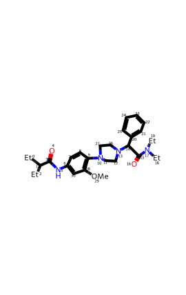 CCC(CC)C(=O)Nc1ccc(N2CCN(C(C(=O)N(CC)CC)c3ccccc3)CC2)c(OC)c1